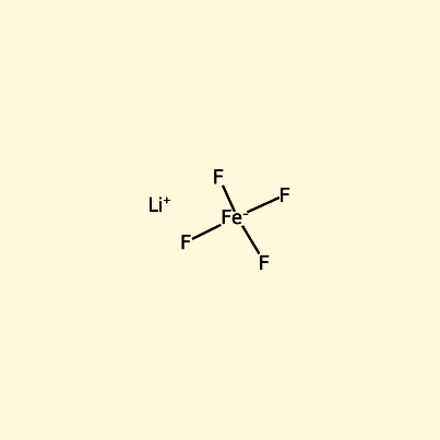 [F][Fe-]([F])([F])[F].[Li+]